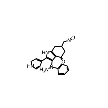 NN(c1ccccc1)c1c(C2=CCNC=C2)[nH]c2c1C(=O)CC(CN=O)C2